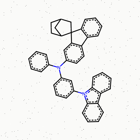 c1ccc(N(c2cccc(-n3c4ccccc4c4ccccc43)c2)c2ccc3c(c2)C2(CC4CCC2C4)c2ccccc2-3)cc1